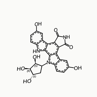 O=C1NC(=O)c2c1c1c3cc(O)ccc3[nH]c1c1c2c2cc(O)ccc2n1C1C[C@H](O)[C@@H](O)[C@H]1O